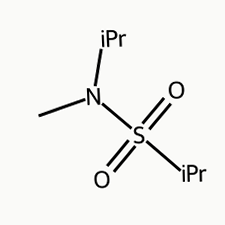 CC(C)N(C)S(=O)(=O)C(C)C